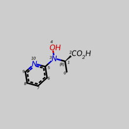 C[C@H](C(=O)O)N(O)c1ccccn1